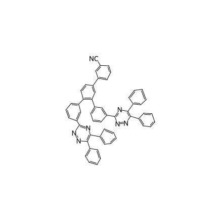 N#Cc1cccc(-c2ccc(-c3cccc(-c4nnc(-c5ccccc5)c(-c5ccccc5)n4)c3)c(-c3cccc(-c4nnc(-c5ccccc5)c(-c5ccccc5)n4)c3)c2)c1